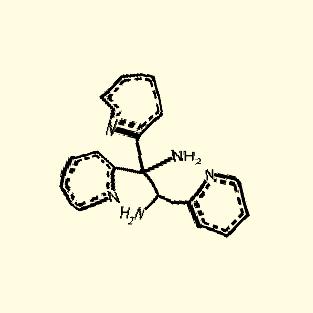 NC(c1ccccn1)C(N)(c1ccccn1)c1ccccn1